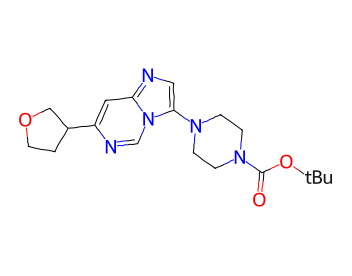 CC(C)(C)OC(=O)N1CCN(c2cnc3cc(C4CCOC4)ncn23)CC1